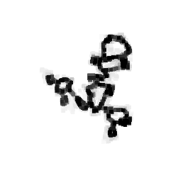 O=C1CN(c2nc(NCc3nc4ccccc4[nH]3)cc(Oc3ccc(Cl)cc3Cl)n2)CCN1